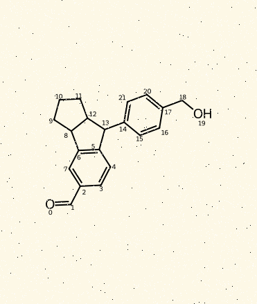 O=Cc1ccc2c(c1)C1CCCC1C2c1ccc(CO)cc1